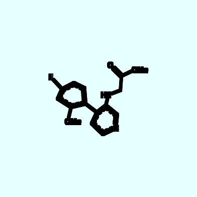 COC(=O)CNc1cnccc1-c1ccc(F)cc1OC